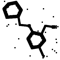 OCc1cc(F)ccc1OCc1ccccc1